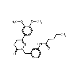 CCCCC(=O)Nc1cccc(CN2N=C(c3ccc(OC)c(OC)c3)CSC2=O)c1